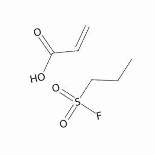 C=CC(=O)O.CCCS(=O)(=O)F